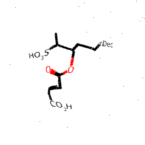 CCCCCCCCCCCCC(OC(=O)C=CC(=O)O)C(C)S(=O)(=O)O